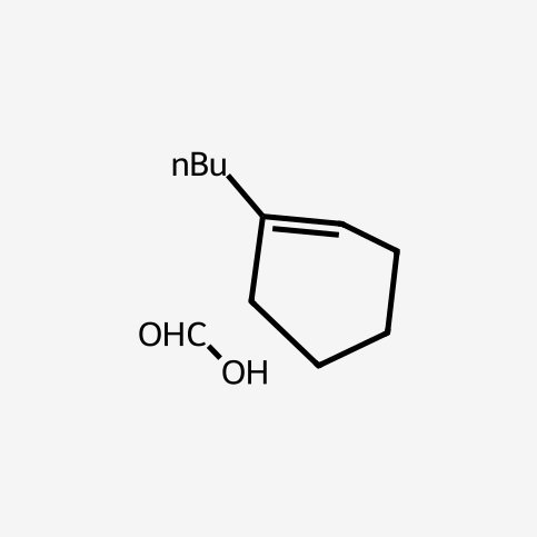 CCCCC1=CCCCC1.O=CO